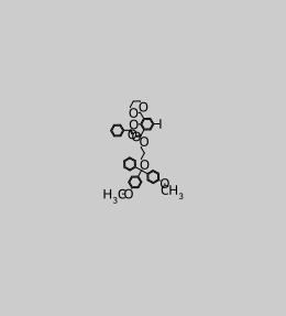 COc1ccc(C(OCCCOC(=O)c2cc(I)cc(C3OCCCO3)c2OC(=O)c2ccccc2)(c2ccccc2)c2ccc(OC)cc2)cc1